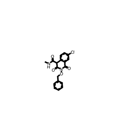 CNC(=O)C1C(=O)N(OCc2ccccc2)C(=O)c2cc(Cl)ccc21